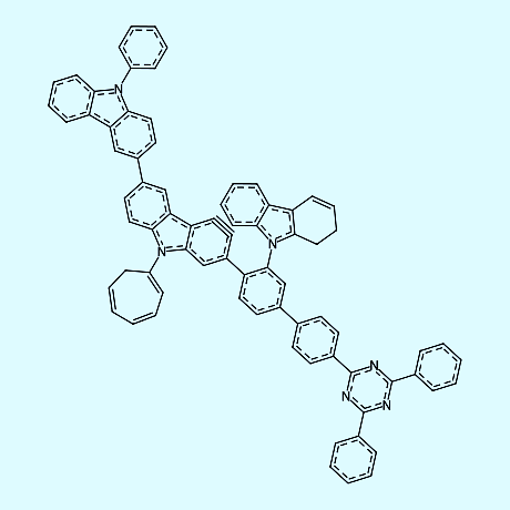 c1c(-c2ccc(-c3ccc(-c4nc(-c5ccccc5)nc(-c5ccccc5)n4)cc3)cc2-n2c3c(c4ccccc42)C=CCC3)cc2c(c#1)c1cc(-c3ccc4c(c3)c3ccccc3n4-c3ccccc3)ccc1n2C1=CC=CC=CC1